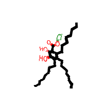 CCCCCCCCc1c(O)c(O)c(C(=O)OCl)c(CCCCCCCC)c1CCCCCCCC